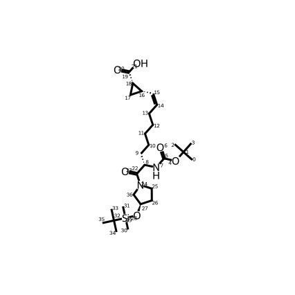 CC(C)(C)OC(=O)N[C@@H](CCCCC/C=C\[C@@H]1C[C@@H]1C(=O)O)C(=O)N1CC[C@@H](O[Si](C)(C)C(C)(C)C)C1